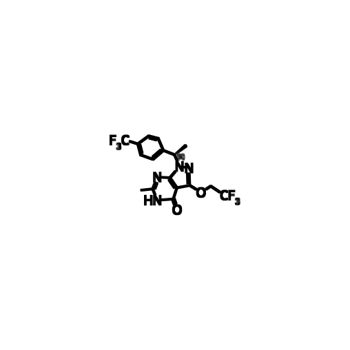 Cc1nc2c(c(OCC(F)(F)F)nn2[C@H](C)c2ccc(C(F)(F)F)cc2)c(=O)[nH]1